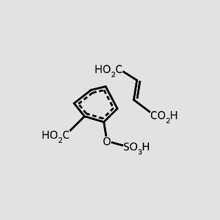 O=C(O)C=CC(=O)O.O=C(O)c1ccccc1OS(=O)(=O)O